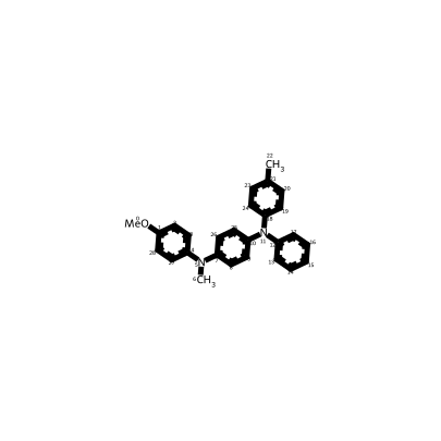 COc1ccc(N(C)c2ccc(N(c3ccccc3)c3ccc(C)cc3)cc2)cc1